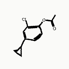 CC(=O)Oc1ccc(C2CC2)cc1Cl